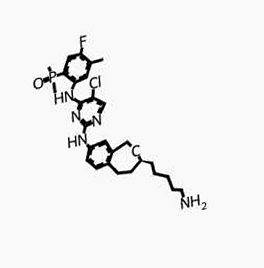 Cc1cc(Nc2nc(Nc3ccc4c(c3)CC[C@@H](CCCCCN)CC4)ncc2Cl)c(P(C)(C)=O)cc1F